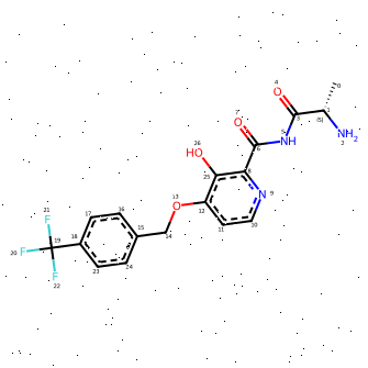 C[C@H](N)C(=O)NC(=O)c1nccc(OCc2ccc(C(F)(F)F)cc2)c1O